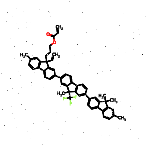 C=CC(=O)OCCCC1(C=C)c2cc(C)ccc2-c2ccc(-c3ccc4c(c3)C(C)(C(F)(F)F)c3cc(-c5ccc6c(c5)C(C)(C)c5cc(C)ccc5-6)ccc3-4)cc21